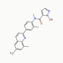 Cc1cc(-c2ccc3cc(C(F)(F)F)cc(C)c3n2)ccc1N(C)C(=O)c1ccnn1O